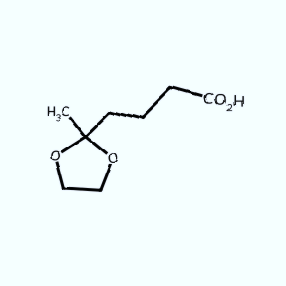 CC1(CCCC(=O)O)OCCO1